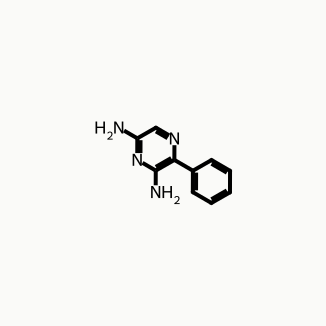 Nc1cnc(-c2ccccc2)c(N)n1